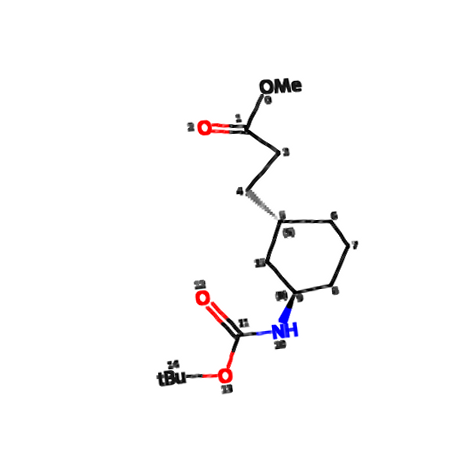 COC(=O)CC[C@@H]1CCC[C@@H](NC(=O)OC(C)(C)C)C1